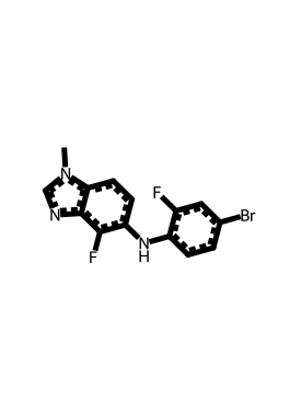 Cn1cnc2c(F)c(Nc3ccc(Br)cc3F)ccc21